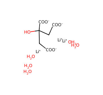 O.O.O.O.O.O=C([O-])CC(O)(CC(=O)[O-])C(=O)[O-].[Li+].[Li+].[Li+]